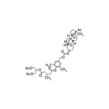 CC(=O)OCC(COC(C)=O)OC(=O)CC(C)CC(=O)Oc1c(C)cc(COC(=O)O[C@H]2CC[C@@]3(C)[C@@H](CC[C@@H]4[C@@H]3CC[C@]3(C)[C@@H](C(C)=O)CC[C@@H]43)C2)cc1C